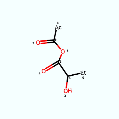 CCC(O)C(=O)OC(=O)C(C)=O